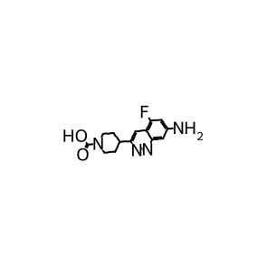 Nc1cc(F)c2cc(C3CCN(C(=O)O)CC3)nnc2c1